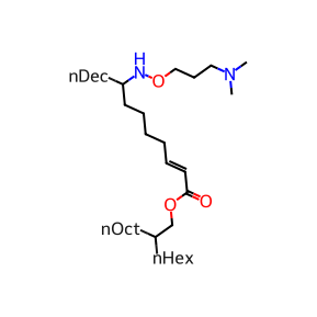 CCCCCCCCCCC(CCCCC=CC(=O)OCC(CCCCCC)CCCCCCCC)NOCCCN(C)C